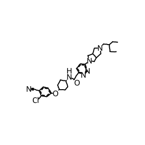 CCC(CC)CN1CC2CN(c3ccc(C(=O)N[C@H]4CC[C@H](Oc5ccc(C#N)c(Cl)c5)CC4)nn3)CC2C1